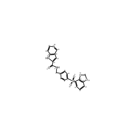 O=C(NCc1ccc(S(=O)(=O)c2cccc3c2OCO3)cc1)c1cc2cnccc2[nH]1